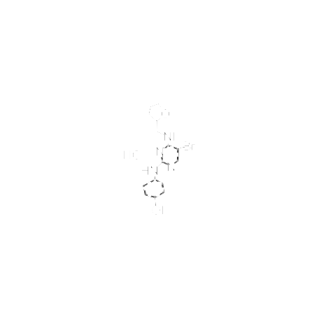 Cl.Oc1ccc(Nc2ncc(Br)c(NCC3CCCO3)n2)cc1